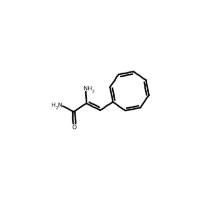 NC(=O)C(N)=CC1=CC=CC=CC=C1